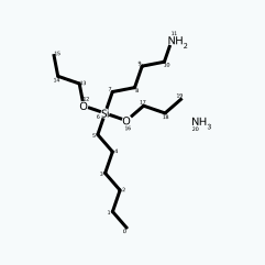 CCCCCC[Si](CCCCN)(OCCC)OCCC.N